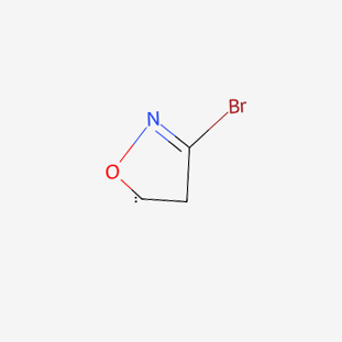 BrC1=NO[C]C1